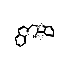 O=C(O)c1c2ccccc2nn1Cc1ccc2ccccc2n1